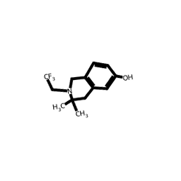 CC1(C)Cc2cc(O)ccc2CN1CC(F)(F)F